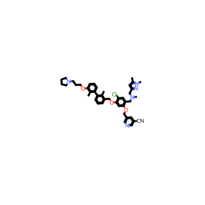 Cc1c(COc2cc(OCc3cncc(C#N)c3)c(CN(C)Cc3cc(C)n(C)n3)cc2Cl)cccc1-c1cccc(OCCCN2CCCC2)c1C